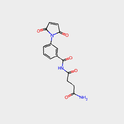 NC(=O)CCC(=O)NC(=O)c1cccc(N2C(=O)C=CC2=O)c1